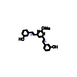 COc1nc(/C=C/c2cccc(O)c2)cc(/C=C/c2cccc(O)c2)n1